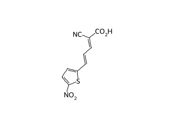 N#C/C(=C\C=C\c1ccc([N+](=O)[O-])s1)C(=O)O